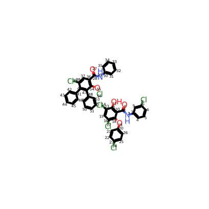 O=C(Nc1cccc(Cl)c1)c1c(O)c(Cl)cc(Cl)c1Oc1ccc(Cl)cc1.O=C(Nc1ccccc1)c1cc(Cl)c(-c2ccccc2)c(-c2ccccc2)c1OCl